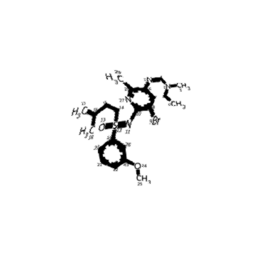 CCN(C)/C=N\c1cc(Br)c(N=S(=O)(CCC(C)C)c2cccc(OC)c2)nc1C